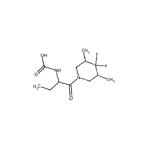 CCC(NC(=O)O)C(=O)N1CC(C)C(F)(F)C(C)C1